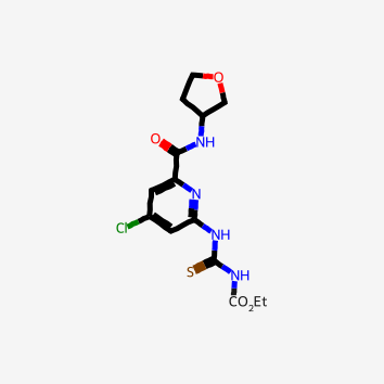 CCOC(=O)NC(=S)Nc1cc(Cl)cc(C(=O)NC2CCOC2)n1